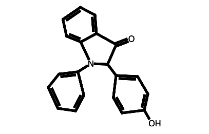 O=C1c2ccccc2N(c2ccccc2)C1c1ccc(O)cc1